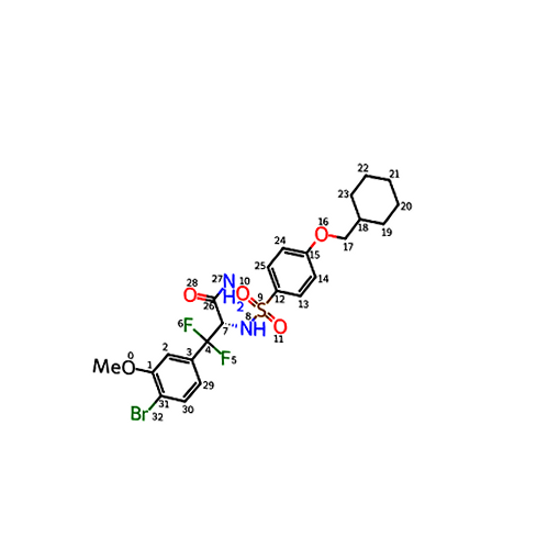 COc1cc(C(F)(F)[C@@H](NS(=O)(=O)c2ccc(OCC3CCCCC3)cc2)C(N)=O)ccc1Br